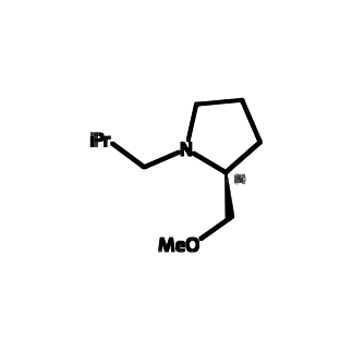 COC[C@@H]1CCCN1CC(C)C